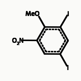 COc1c(I)cc(I)cc1[N+](=O)[O-]